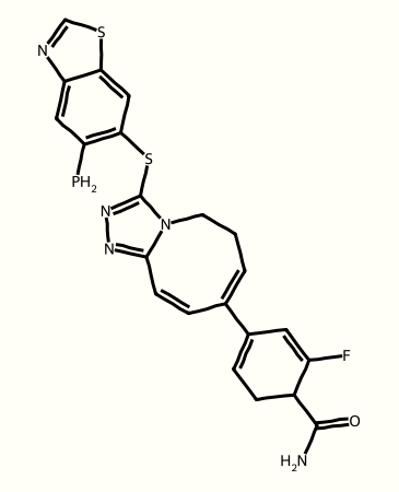 NC(=O)C1CC=C(C2=C/CCn3c(nnc3Sc3cc4scnc4cc3P)/C=C\2)C=C1F